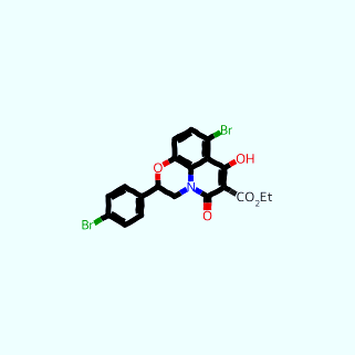 CCOC(=O)c1c(O)c2c(Br)ccc3c2n(c1=O)CC(c1ccc(Br)cc1)O3